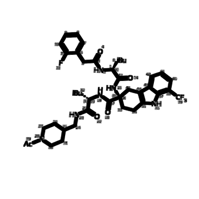 CCC(C)[C@H](NC(=O)Cc1ccccc1F)C(=O)N[C@]1(C(=O)N[C@H](C(=O)NCC2CCN(C(C)=O)CC2)C(C)CC)CCc2[nH]c3c(C(F)(F)F)cccc3c2C1